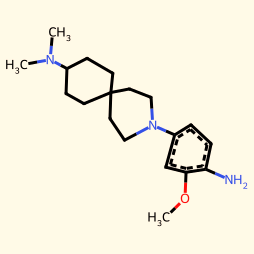 COc1cc(N2CCC3(CCC(N(C)C)CC3)CC2)ccc1N